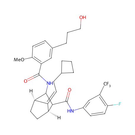 COc1ccc(CCCO)cc1C(=O)NC1C(C(=O)Nc2ccc(F)c(C(F)(F)F)c2)[C@H]2CC[C@@H]1/C2=C\CC1CCC1